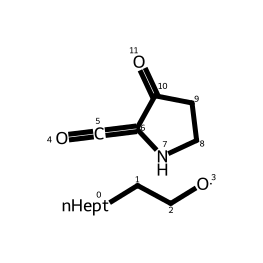 CCCCCCCCC[O].O=C=C1NCCC1=O